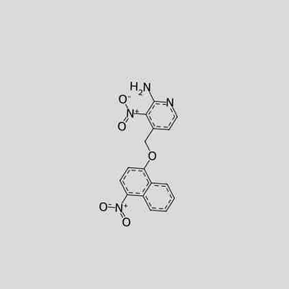 Nc1nccc(COc2ccc([N+](=O)[O-])c3ccccc23)c1[N+](=O)[O-]